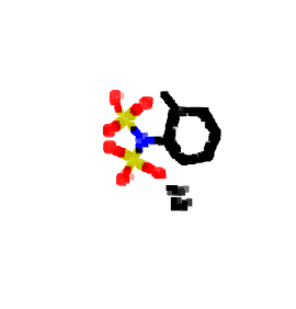 Cc1ccccc1N(S(=O)(=O)[O-])S(=O)(=O)[O-].[Na+].[Na+]